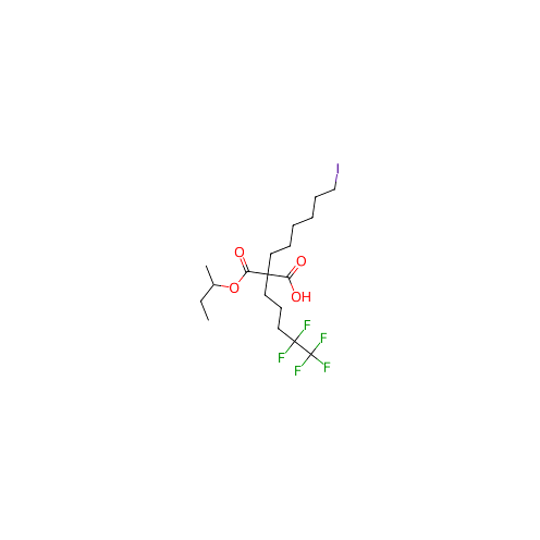 CCC(C)OC(=O)C(CCCCCCI)(CCCC(F)(F)C(F)(F)F)C(=O)O